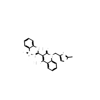 Cc1nc(Cn2c(=O)c(C3=NS(=O)(=O)c4ccccc4N3)c(O)c3ccccc32)cs1